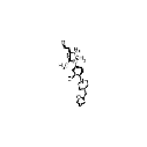 CC(=C/C=O)/N=C(/C)N(C)c1ccc(N2CCC(Cc3ccco3)CC2)c(Cl)c1